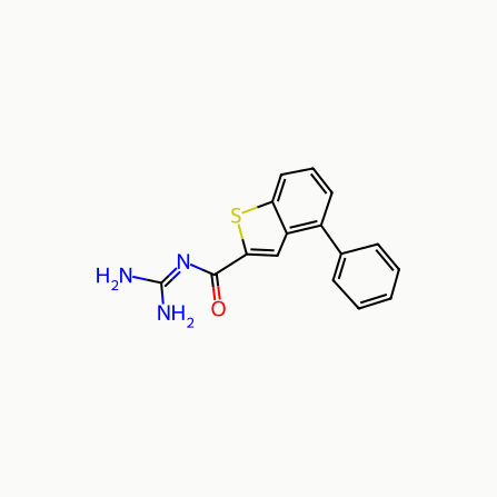 NC(N)=NC(=O)c1cc2c(-c3ccccc3)cccc2s1